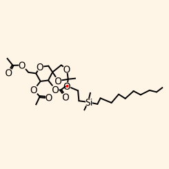 CCCCCCCCCC[Si](C)(C)CCOC1(C)OCC2(COC(COC(C)=O)C(OC(C)=O)C2OC(C)=O)O1